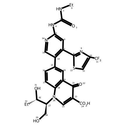 CCNC(=O)Nc1cc(-c2nc(C(F)(F)F)cs2)c(-c2ccc3c(c2)c(=O)c(C(=O)O)cn3[C@@H](CO)[C@@H](O)CC)cn1